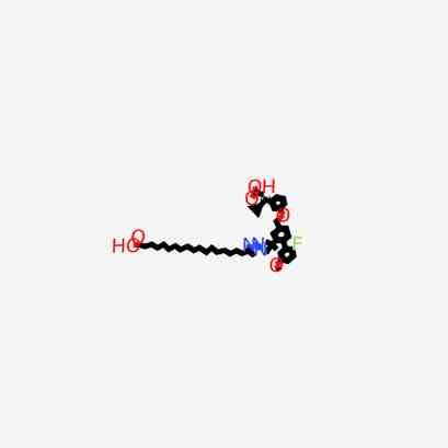 COc1ccc(F)c(-c2ccc(COc3cccc([C@@H](CC(=O)O)C4CC4)c3)cc2C(C)(C)Cn2cc(CCCCCCCCCCCCCCCCCC(=O)O)nn2)c1